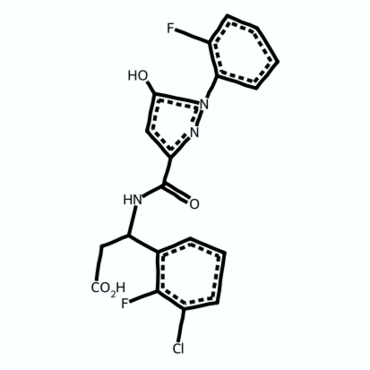 O=C(O)CC(NC(=O)c1cc(O)n(-c2ccccc2F)n1)c1cccc(Cl)c1F